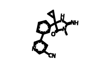 CN1C(=N)NC(c2cccc(-c3cncc(C#N)c3)c2)(C2CC2)C1=O